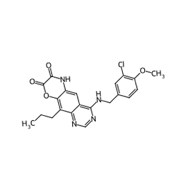 CCCc1c2ncnc(NCc3ccc(OC)c(Cl)c3)c2cc2[nH]c(=O)c(=O)oc12